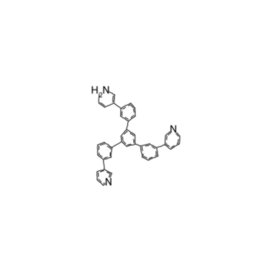 C/C=C\C(=C/N)c1cccc(-c2cc(-c3cccc(-c4cccnc4)c3)cc(-c3cccc(-c4cccnc4)c3)c2)c1